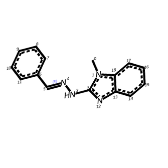 Cn1c(N/N=C/c2ccccc2)nc2ccccc21